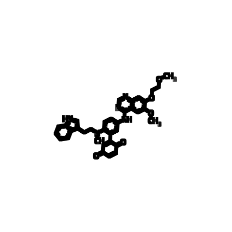 COCCOc1cc2ncnc(Nc3ccc(N(C)CCc4c[nH]c5ccccc45)c(C4=CC(=O)C=CC4=O)c3)c2cc1OC